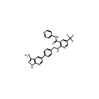 Nc1n[nH]c2ncc(-c3ccc(CNc4ncc(C(F)(F)F)cc4C(=O)Nc4ccncc4)cc3)cc12